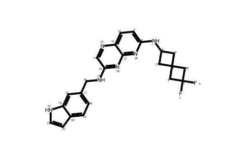 FC1(F)CC2(CC(Nc3ccc4ncc(NCc5ccc6cc[nH]c6c5)nc4n3)C2)C1